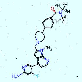 [2H]C([2H])([2H])N(C(=O)c1ccc(C2CCN(Cc3cc4c(-c5cnc(N)cc5F)ccnc4n3C)CC2)cc1)C([2H])([2H])[2H]